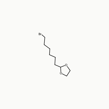 BrCCCCCCC1OCCO1